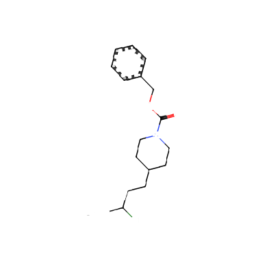 CCOC(=O)C(Cl)CCC1CCN(C(=O)OCc2ccccc2)CC1